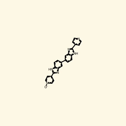 [O-][n+]1ccc(-c2nc3cc(-c4ccc5[nH]c(-c6ccncc6)nc5c4)ccc3[nH]2)cc1